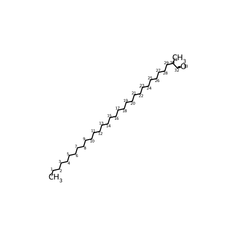 CCCCCCCCCCCCCCCCCCCCCCC[CH]CCCCCCC(C)C=O